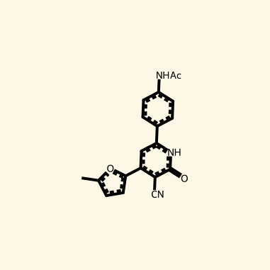 CC(=O)Nc1ccc(-c2cc(-c3ccc(C)o3)c(C#N)c(=O)[nH]2)cc1